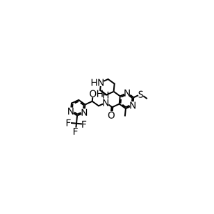 CSc1nc(C)c(C(=O)NCC(O)c2ccnc(C(F)(F)F)n2)c(C2CCNCC2)n1